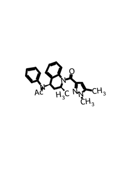 CC(=O)N(c1ccccc1)[C@@H]1C[C@H](C)N(C(=O)c2cc(C)n(C)n2)c2ccccc21